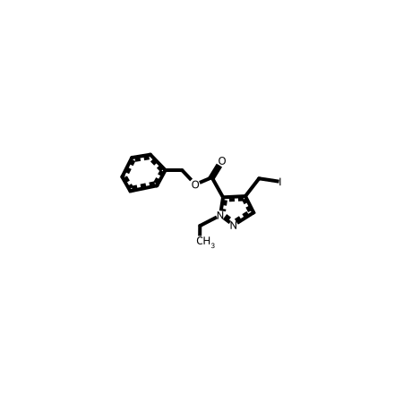 CCn1ncc(CI)c1C(=O)OCc1ccccc1